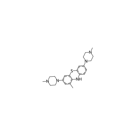 Cc1cc(N2CCN(C)CC2)cc2c1Nc1ccc(N3CCN(C)CC3)cc1S2